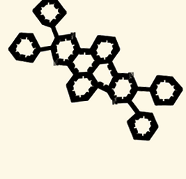 c1ccc(-c2nc3c4cccc5c6nc(-c7ccccc7)c(-c7ccccc7)nc6c6cccc(c3nc2-c2ccccc2)c6c45)cc1